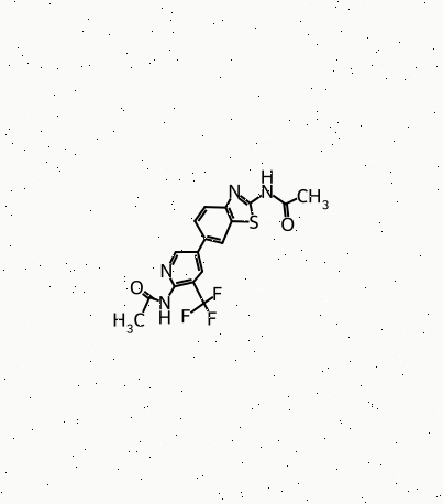 CC(=O)Nc1nc2ccc(-c3cnc(NC(C)=O)c(C(F)(F)F)c3)cc2s1